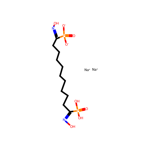 O=P([O-])([O-])C(CCCCCCCCCC(=NO)P(=O)(O)O)=NO.[Na+].[Na+]